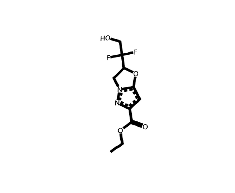 CCOC(=O)c1cc2n(n1)CC(C(F)(F)CO)O2